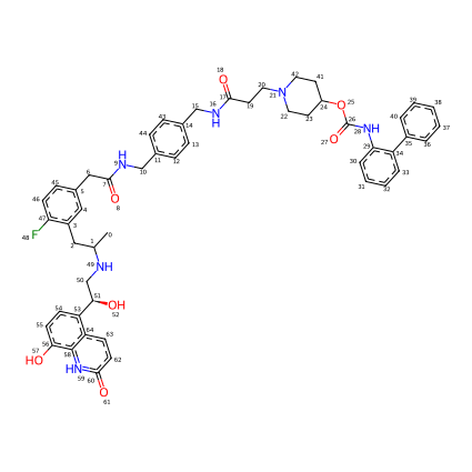 CC(Cc1cc(CC(=O)NCc2ccc(CNC(=O)CCN3CCC(OC(=O)Nc4ccccc4-c4ccccc4)CC3)cc2)ccc1F)NC[C@@H](O)c1ccc(O)c2[nH]c(=O)ccc12